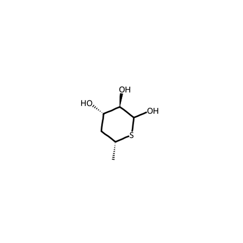 C[C@@H]1C[C@H](O)[C@@H](O)C(O)S1